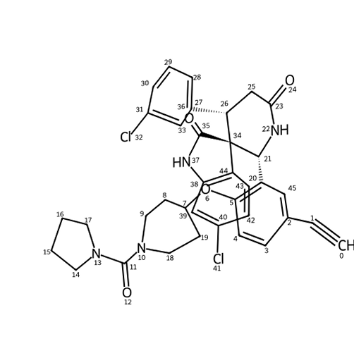 C#Cc1ccc(OC2CCN(C(=O)N3CCCC3)CC2)c([C@H]2NC(=O)C[C@@H](c3cccc(Cl)c3)[C@]23C(=O)Nc2cc(Cl)ccc23)c1